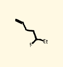 C=CCCC(F)CC